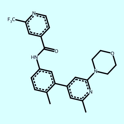 Cc1cc(-c2cc(NC(=O)c3ccnc(C(F)(F)F)c3)ccc2C)cc(N2CCOCC2)n1